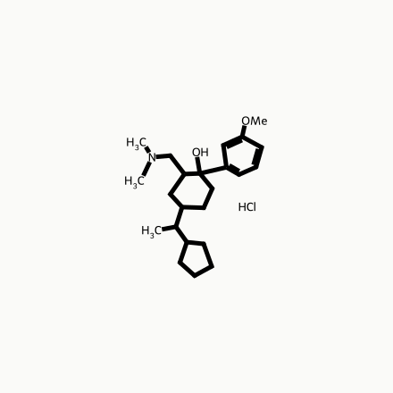 COc1cccc(C2(O)CCC(C(C)C3CCCC3)CC2CN(C)C)c1.Cl